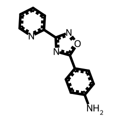 Nc1ccc(-c2nc(-c3ccccn3)no2)cc1